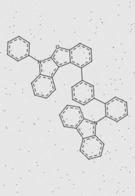 c1ccc(-n2c3ccccc3c3c4c(-c5cccc(-c6ccccc6-n6c7ccccc7c7ccccc76)c5)cccc4oc32)cc1